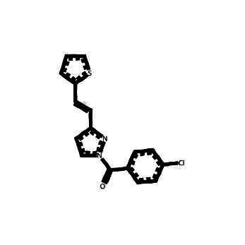 O=C(c1ccc(Cl)cc1)n1ccc(/C=C/c2cccs2)n1